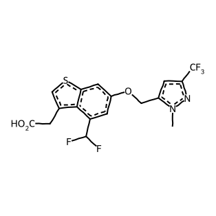 Cn1nc(C(F)(F)F)cc1COc1cc(C(F)F)c2c(CC(=O)O)csc2c1